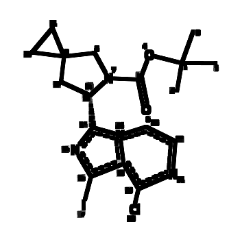 CC(C)(C)OC(=O)N1CC2(CC2)C[C@H]1c1nc(I)c2c(Cl)nccn12